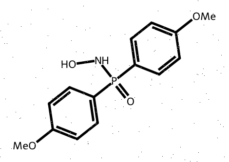 COc1ccc(P(=O)(NO)c2ccc(OC)cc2)cc1